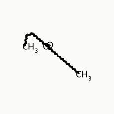 CCCCC/C=C\C/C=C\CCCCCCCCOC(=O)CCCCCCCCCCCCCCCCCCCCC